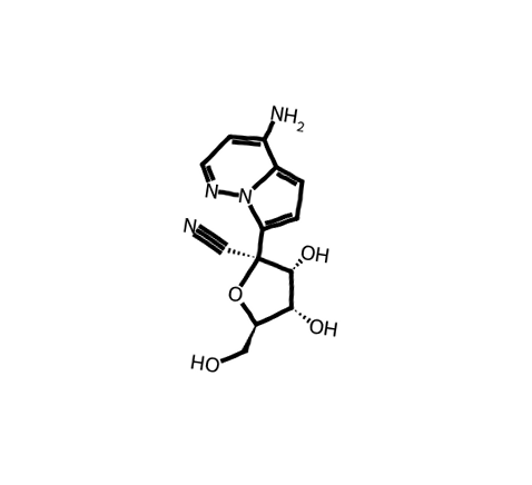 N#C[C@@]1(c2ccc3c(N)ccnn23)O[C@H](CO)[C@@H](O)[C@H]1O